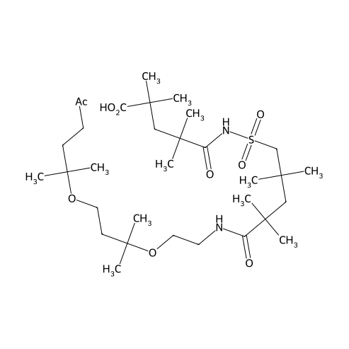 CC(=O)CCC(C)(C)OCCC(C)(C)OCCNC(=O)C(C)(C)CC(C)(C)CS(=O)(=O)NC(=O)C(C)(C)CC(C)(C)C(=O)O